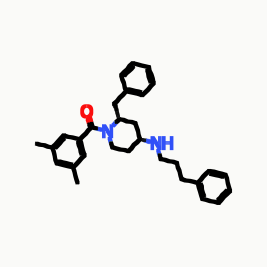 Cc1cc(C)cc(C(=O)N2CC[C@H](NCCCc3ccccc3)C[C@@H]2Cc2ccccc2)c1